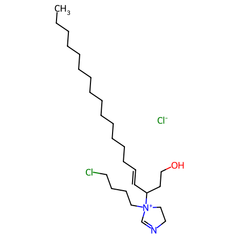 CCCCCCCCCCCCCCC=CC(CCO)[N+]1(CCCCCl)C=NCC1.[Cl-]